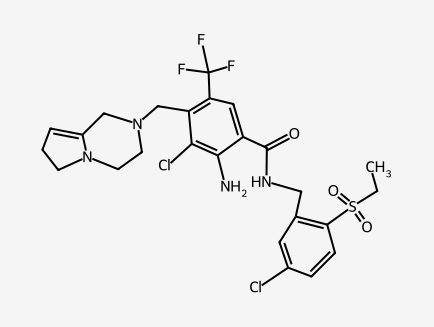 CCS(=O)(=O)c1ccc(Cl)cc1CNC(=O)c1cc(C(F)(F)F)c(CN2CCN3CCC=C3C2)c(Cl)c1N